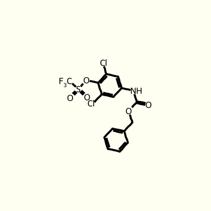 O=C(Nc1cc(Cl)c(OS(=O)(=O)C(F)(F)F)c(Cl)c1)OCc1ccccc1